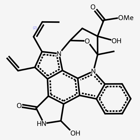 C=Cc1c(/C=C\C)n2c3c1c1c(c4c5ccccc5n(c43)C3(C)OC2CC3(O)C(=O)OC)C(O)NC1=O